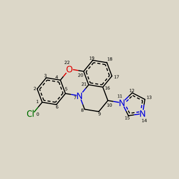 Clc1ccc2c(c1)N1CCC(n3ccnc3)c3cccc(c31)O2